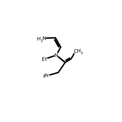 C/C=C(/CC(C)C)N(/C=C\N)CC